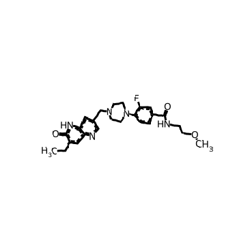 CCc1cc2ncc(CN3CCN(c4ccc(C(=O)NCCOC)cc4F)CC3)cc2[nH]c1=O